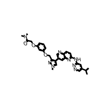 CC(C)c1cnnc(Nc2ccc3ncc(-c4cn(C)nc4COc4cccc(OCC(=O)N(C)C)c4)cc3n2)c1